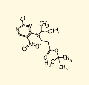 CC(C)N(CCC(=O)OC(C)(C)C)c1nc(Cl)ncc1[N+](=O)[O-]